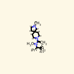 C=C(CC)C(C(C)C)N(C)C(=C)N1CCC2(CCN(C)C2)CC1